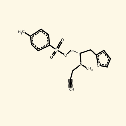 C#CCN(C)[C@H](COS(=O)(=O)c1ccc(C)cc1)Cc1ccco1